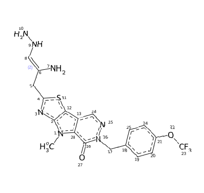 Cn1c2nc(C/C(N)=C/NN)sc2c2cnn(Cc3ccc(OC(F)(F)F)cc3)c(=O)c21